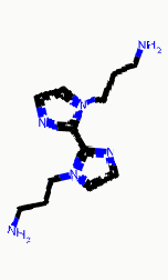 NCCCn1ccnc1-c1nccn1CCCN